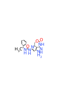 CC(NC(=O)Nc1cc(N)c2c(n1)COC(=O)NC2=N)c1ccccc1